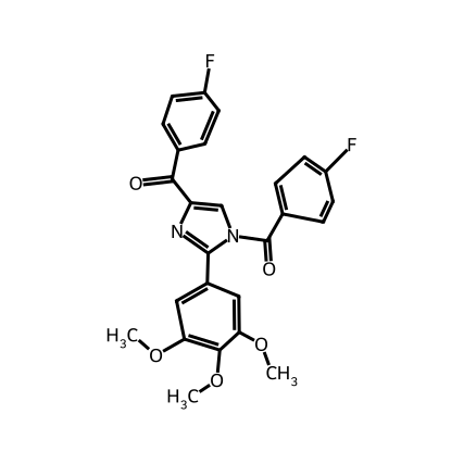 COc1cc(-c2nc(C(=O)c3ccc(F)cc3)cn2C(=O)c2ccc(F)cc2)cc(OC)c1OC